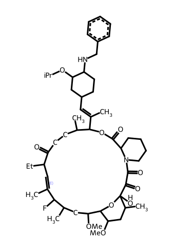 CCC1/C=C(\C)C(F)C(C)CC(OC)C2OC(O)(C(=O)C(=O)N3CCCCC3C(=O)OC(C(C)=CC3CCC(NCc4ccccc4)C(OC(C)C)C3)C(C)CCC1=O)C(C)CC2OC